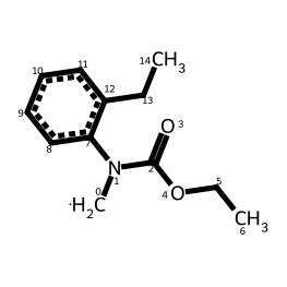 [CH2]N(C(=O)OCC)c1ccccc1CC